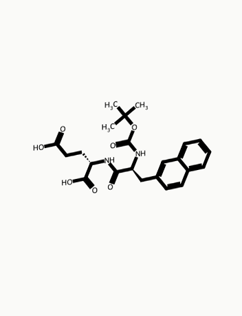 CC(C)(C)OC(=O)N[C@@H](Cc1ccc2ccccc2c1)C(=O)N[C@@H](CCC(=O)O)C(=O)O